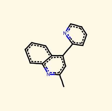 Cc1cc(-c2ccccn2)c2ccccc2n1